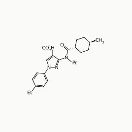 CCc1ccc(-n2cc(C(=O)O)c(N(C(=O)[C@H]3CC[C@H](C)CC3)C(C)C)n2)cc1